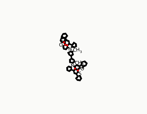 Cc1cc(-c2ccc(N(c3ccc4oc5ccccc5c4c3)c3ccccc3-c3ccc4sc5ccccc5c4c3)c(C)c2)ccc1N(c1ccc2oc3ccccc3c2c1)c1ccccc1-c1ccc2sc3ccccc3c2c1